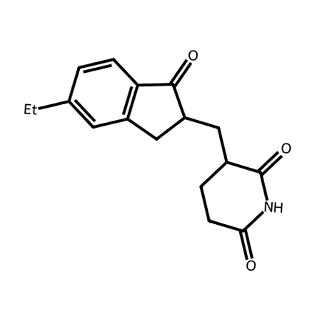 CCc1ccc2c(c1)CC(CC1CCC(=O)NC1=O)C2=O